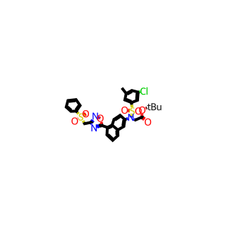 Cc1cc(Cl)cc(S(=O)(=O)N(CC(=O)OC(C)(C)C)c2ccc3c(-c4nc(CS(=O)(=O)c5ccccc5)no4)cccc3c2)c1